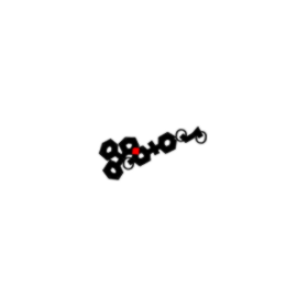 CC(C)(c1ccc(OCC2CO2)cc1)c1ccc(OC(c2ccccc2)(c2ccccc2)c2ccccc2)cc1